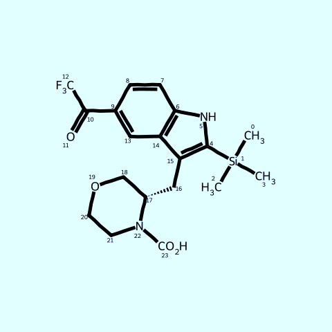 C[Si](C)(C)c1[nH]c2ccc(C(=O)C(F)(F)F)cc2c1C[C@H]1COCCN1C(=O)O